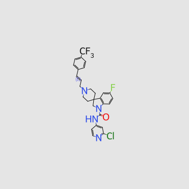 O=C(Nc1ccnc(Cl)c1)N1CC2(CCN(C/C=C/c3ccc(C(F)(F)F)cc3)CC2)c2cc(F)ccc21